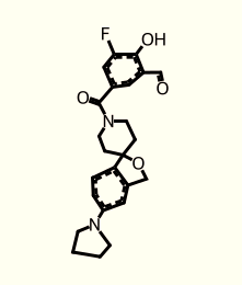 O=Cc1cc(C(=O)N2CCC3(CC2)OCc2cc(N4CCCC4)ccc23)cc(F)c1O